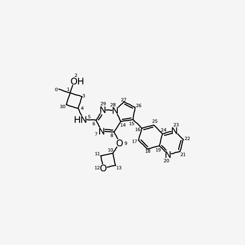 CC1(O)CC(Nc2nc(OC3COC3)c3c(-c4ccc5nccnc5c4)ccn3n2)C1